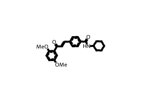 COc1ccc(OC)c(C(=O)C=Cc2ccc(C(=O)NC3CCCCC3)cc2)c1